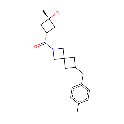 Cc1ccc(CC2CC3(C2)CN(C(=O)[C@H]2C[C@@](C)(O)C2)C3)cc1